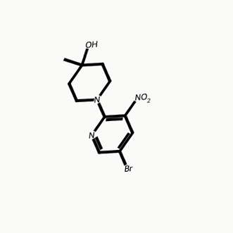 CC1(O)CCN(c2ncc(Br)cc2[N+](=O)[O-])CC1